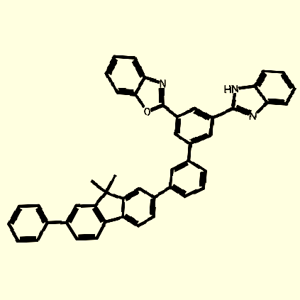 CC1(C)c2cc(-c3ccccc3)ccc2-c2ccc(-c3cccc(-c4cc(-c5nc6ccccc6[nH]5)cc(-c5nc6ccccc6o5)c4)c3)cc21